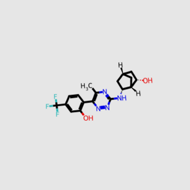 Cc1nc(N[C@@H]2C[C@H]3C[C@@H]2[C@@H](O)C3)nnc1-c1ccc(C(F)(F)F)cc1O